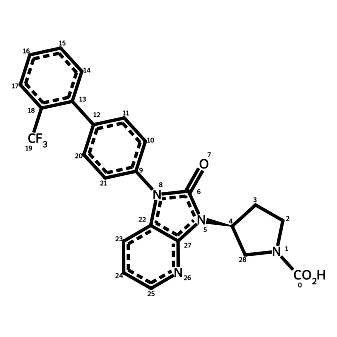 O=C(O)N1CC[C@H](n2c(=O)n(-c3ccc(-c4ccccc4C(F)(F)F)cc3)c3cccnc32)C1